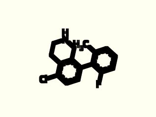 Cc1cccc(F)c1-c1ccc(Cl)c2c1CNCC2